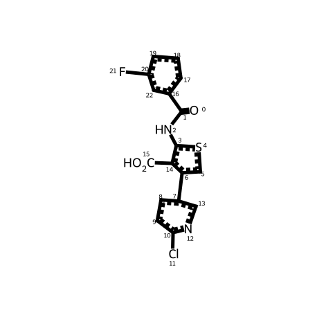 O=C(Nc1scc(-c2ccc(Cl)nc2)c1C(=O)O)c1cccc(F)c1